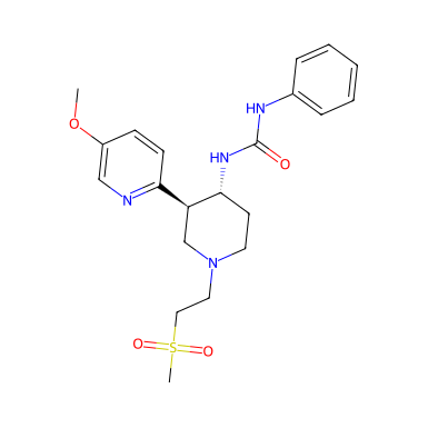 COc1ccc([C@@H]2CN(CCS(C)(=O)=O)CC[C@H]2NC(=O)Nc2ccccc2)nc1